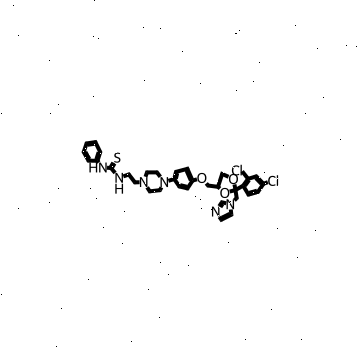 S=C(NCCN1CCN(c2ccc(OCC3COC(Cn4ccnc4)(c4ccc(Cl)cc4Cl)O3)cc2)CC1)Nc1ccccc1